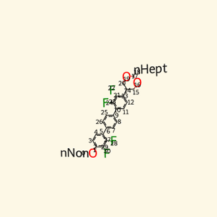 CCCCCCCCCOc1ccc(-c2ccc(-c3ccc(C4COC(CCCCCCC)OC4)c(F)c3F)cc2)c(F)c1F